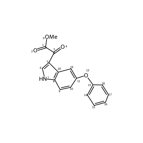 COC(=O)C(=O)c1c[nH]c2ccc(Oc3ccccc3)cc12